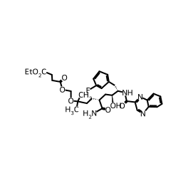 CCOC(=O)CCC(=O)OCOC(C)(C)CC[C@H](C[C@H](O)[C@H](Cc1cccc(F)c1)NC(=O)c1cnc2ccccc2n1)C(N)=O